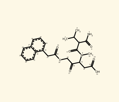 CC(C)C(C(N)=O)C(=O)N(C)C(CC(=O)O)C(=O)COC(=O)Cc1cccc2ccccc12